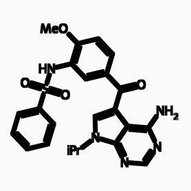 COc1ccc(C(=O)c2cn(C(C)C)c3ncnc(N)c23)cc1NS(=O)(=O)c1ccccc1